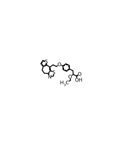 CCOC(Cc1ccc(OCCC2=C3SCN=C3CCc3ccsc32)cc1)C(=O)O